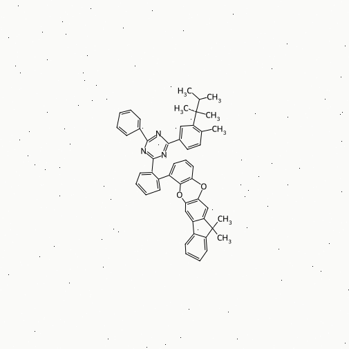 Cc1ccc(-c2nc(-c3ccccc3)nc(-c3ccccc3-c3cccc4c3Oc3cc5c(cc3O4)C(C)(C)c3ccccc3-5)n2)cc1C(C)(C)C(C)C